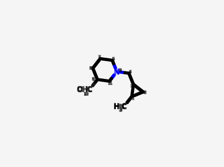 CC1CC1CN1CCCC(C=O)C1